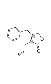 O=C1OC[C@H](Cc2ccccc2)N1CC=S